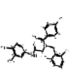 O=C(CN(Cc1c(F)cccc1F)C(=O)c1ccc(F)cc1)Nc1ccc(F)c(Cl)c1